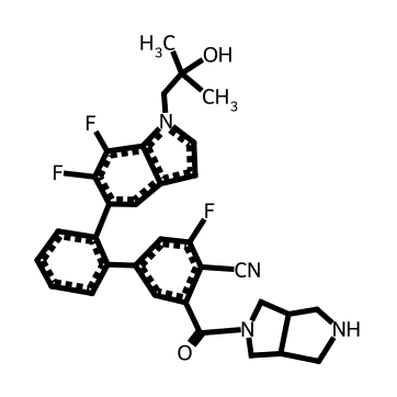 CC(C)(O)Cn1ccc2cc(-c3ccccc3-c3cc(F)c(C#N)c(C(=O)N4CC5CNCC5C4)c3)c(F)c(F)c21